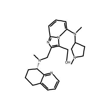 CN1CCC(N(C)c2cccc3nc(CN(C)[C@H]4CCCc5cccnc54)c(CO)n23)C1